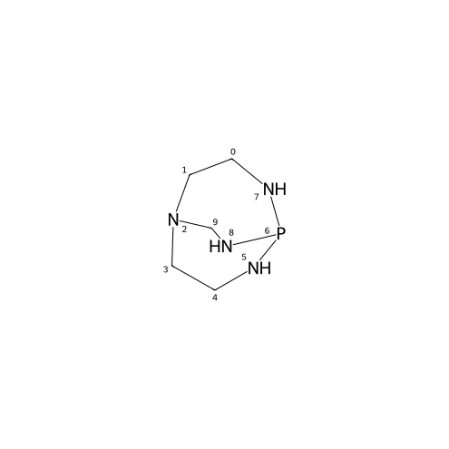 C1CN2CCNP(N1)NC2